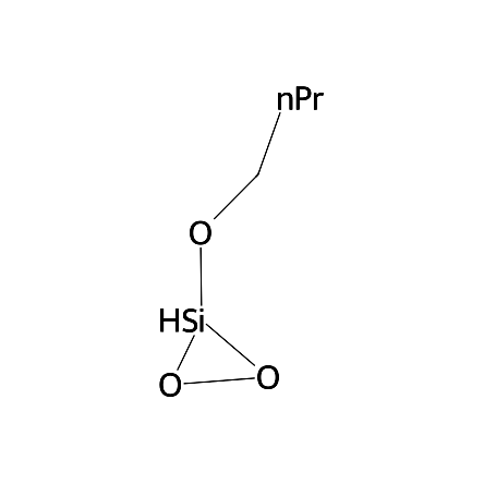 CCCCO[SiH]1OO1